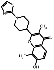 Cc1c(C2CCN(c3nccs3)CC2)oc2c(C)c(O)ccc2c1=O